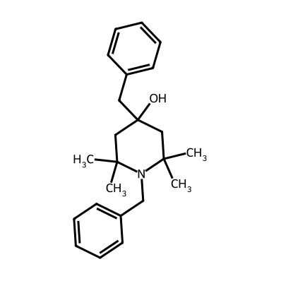 CC1(C)CC(O)(Cc2ccccc2)CC(C)(C)N1Cc1ccccc1